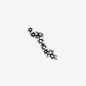 Nc1ncnc2c1c(-c1ccc(Oc3ccccc3)cc1)nn2C1CCN(C2CC3(CCN(c4ccc5c(c4)C(O)N(C4CCC(=O)NC4=O)C5=O)CC3)C2)CC1